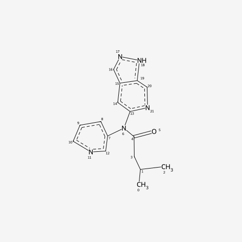 CC(C)CC(=O)N(c1cccnc1)c1cc2cn[nH]c2cn1